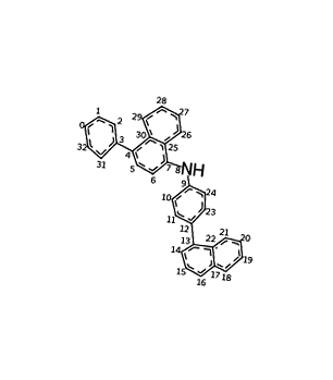 c1ccc(-c2ccc(Nc3ccc(-c4cccc5ccccc45)cc3)c3ccccc23)cc1